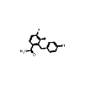 NC(=O)c1ccc(F)c(F)c1Cc1ccc(Cl)cc1